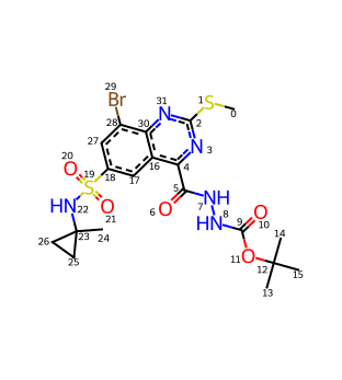 CSc1nc(C(=O)NNC(=O)OC(C)(C)C)c2cc(S(=O)(=O)NC3(C)CC3)cc(Br)c2n1